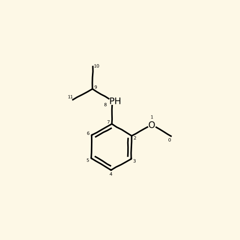 COc1ccccc1PC(C)C